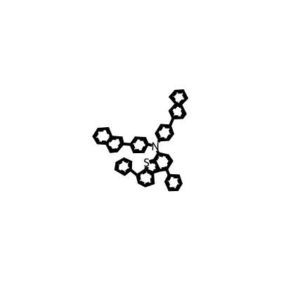 c1ccc(-c2cccc3c2sc2c(N(c4ccc(-c5ccc6ccccc6c5)cc4)c4ccc(-c5ccc6ccccc6c5)cc4)ccc(-c4ccccc4)c23)cc1